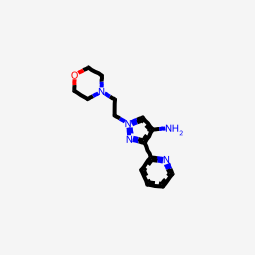 Nc1cn(CCN2CCOCC2)nc1-c1ccccn1